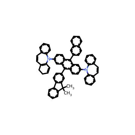 CC1(C)c2ccccc2-c2ccc(-c3c4ccc(N5c6ccccc6C=Cc6ccccc65)cc4c(-c4ccc5ccccc5c4)c4ccc(N5C6=C(C=Cc7ccccc75)CCC=C6)cc34)cc21